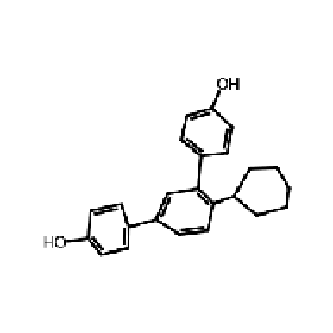 Oc1ccc(-c2ccc(C3CCCCC3)c(-c3ccc(O)cc3)c2)cc1